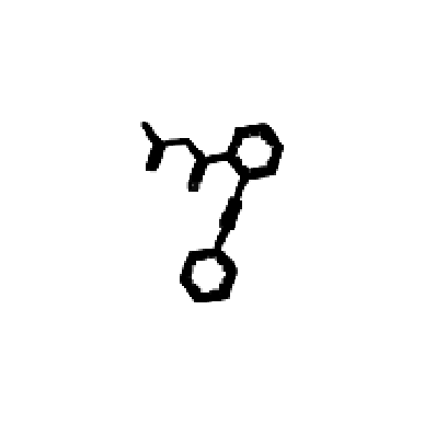 C=C(C)CC(=O)c1ccccc1C#Cc1ccccc1